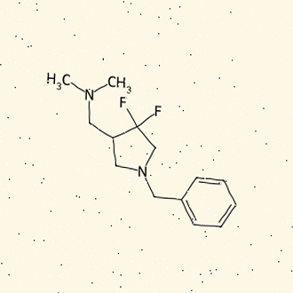 CN(C)CC1CN(Cc2ccccc2)CC1(F)F